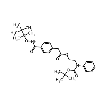 CC(C)(C)OC(=O)N(CCOC(=O)Cc1ccc(C(=O)NO[Si](C)(C)C(C)(C)C)cc1)c1ccccc1